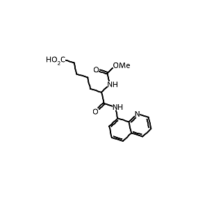 COC(=O)NC(CCCCC(=O)O)C(=O)Nc1cccc2cccnc12